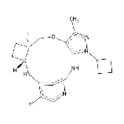 Cc1nn(C2CCC2)c2c1OC[C@@H]1CC[C@H]1Nc1cc(ncc1F)N2